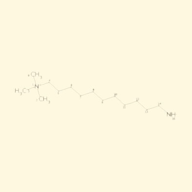 C[N+](C)(C)CCCCCCCCCCC[NH]